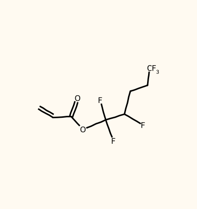 C=CC(=O)OC(F)(F)C(F)CCC(F)(F)F